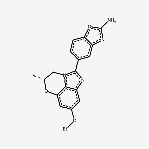 CCOc1cc2c3c(c1)nc(-c1ccc4oc(N)nc4c1)n3C[C@@H](C)O2